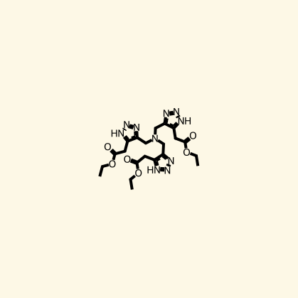 CCOC(=O)Cc1[nH]nnc1CN(Cc1nn[nH]c1CC(=O)OCC)Cc1nn[nH]c1CC(=O)OCC